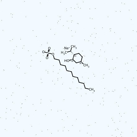 CC(C)[C@@H]1CC[C@@H](C)C[C@H]1O.CCCCCCCCCCCCOS(=O)(=O)[O-].[Na+]